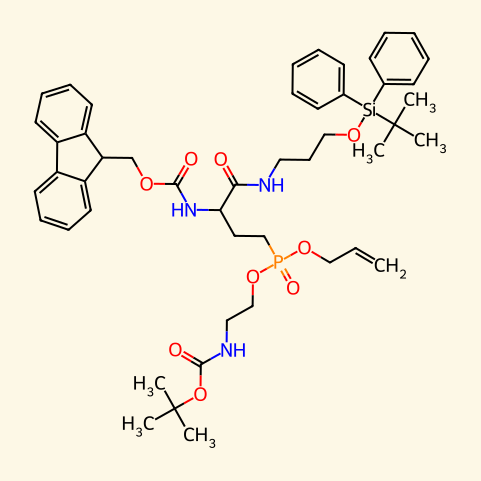 C=CCOP(=O)(CCC(NC(=O)OCC1c2ccccc2-c2ccccc21)C(=O)NCCCO[Si](c1ccccc1)(c1ccccc1)C(C)(C)C)OCCNC(=O)OC(C)(C)C